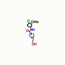 COc1cc(NC(=O)N2CCN(CCO)CC2)ccc1Cl